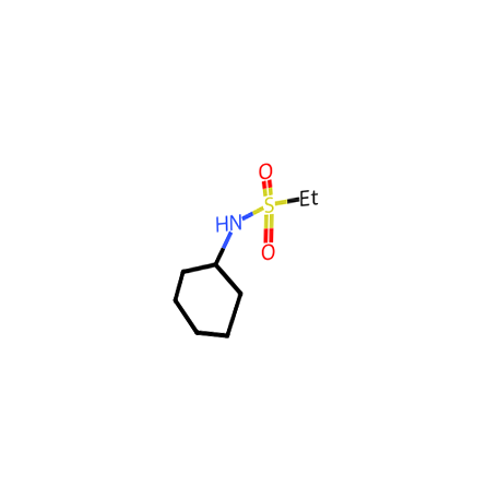 CCS(=O)(=O)NC1CCCCC1